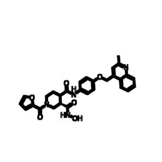 Cc1cc(COc2ccc(NC(=O)C3CCN(C(=O)c4ccco4)C[C@@H]3C(=O)NO)cc2)c2ccccc2n1